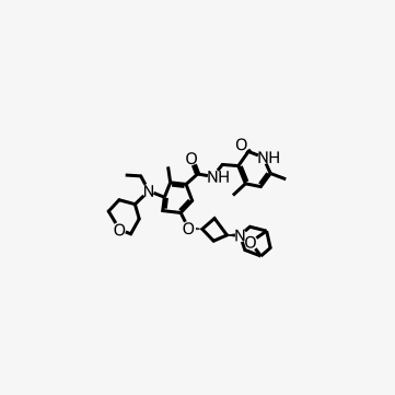 CCN(c1cc(O[C@H]2C[C@H](N3CC4CC(C3)O4)C2)cc(C(=O)NCc2c(C)cc(C)[nH]c2=O)c1C)C1CCOCC1